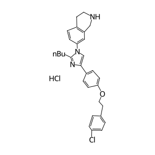 CCCCc1nc(-c2ccc(OCCc3ccc(Cl)cc3)cc2)cn1-c1ccc2c(c1)CNCC2.Cl